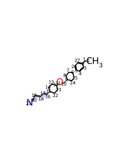 CCc1ccc([C@H]2CC[C@H](CO[C@H]3CC[C@H](/C=C/C=C/C#N)CC3)CC2)cc1